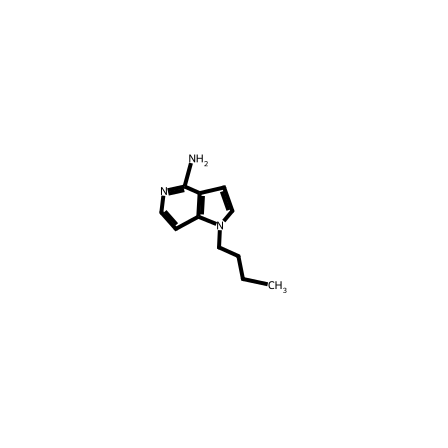 CCCCn1ccc2c(N)nccc21